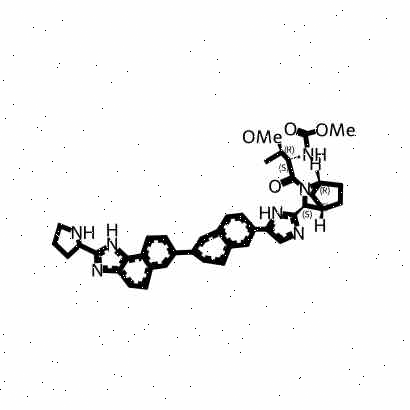 COC(=O)N[C@H](C(=O)N1[C@@H]2CC[C@@H](C2)[C@H]1c1ncc(-c2ccc3cc(-c4ccc5c(ccc6nc(C7CCCN7)[nH]c65)c4)ccc3c2)[nH]1)[C@@H](C)OC